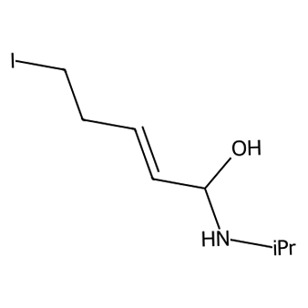 CC(C)NC(O)/C=C/CCI